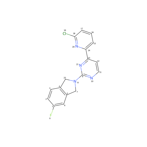 Fc1ccc2c(c1)CN(c1nccc(-c3cccc(Cl)n3)n1)C2